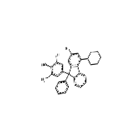 Cc1cc(C2(c3ccccc3)c3ccccc3-c3c(C4CCCCC4)cc(Br)cc32)cc(C)c1O